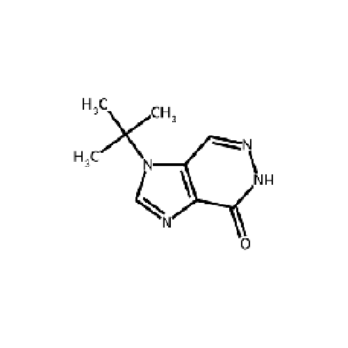 CC(C)(C)n1cnc2c(=O)[nH]ncc21